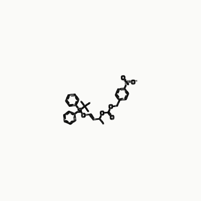 CC(C=CO[Si](c1ccccc1)(c1ccccc1)C(C)(C)C)OC(=O)OCc1ccc([N+](=O)[O-])cc1